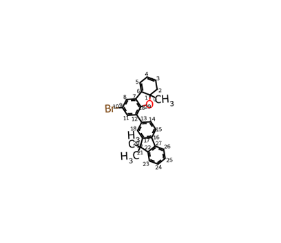 CC12CC=CC=C1c1cc(Br)cc(-c3ccc4c(c3)C(C)(C)c3ccccc3-4)c1O2